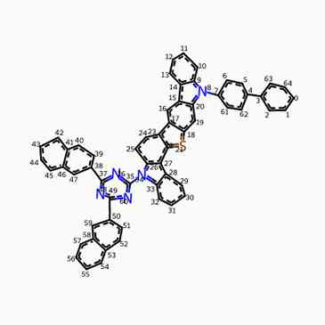 c1ccc(-c2ccc(-n3c4ccccc4c4cc5c(cc43)sc3c5ccc4c3c3ccccc3n4-c3nc(-c4ccc5ccccc5c4)nc(-c4ccc5ccccc5c4)n3)cc2)cc1